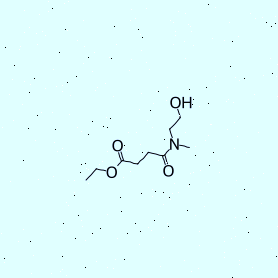 CCOC(=O)CCC(=O)N(C)CCO